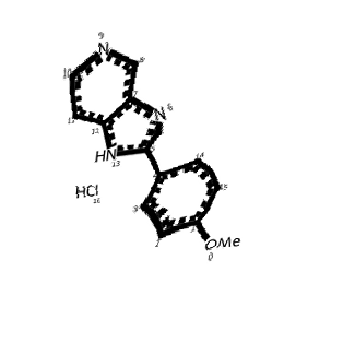 COc1ccc(-c2nc3cnccc3[nH]2)cc1.Cl